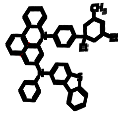 CCC1=CC(C)CC(CC)(c2ccc(N(c3cccc(N(c4ccccc4)c4ccc5sc6ccccc6c5c4)c3)c3ccccc3-c3ccccc3)cc2)C1